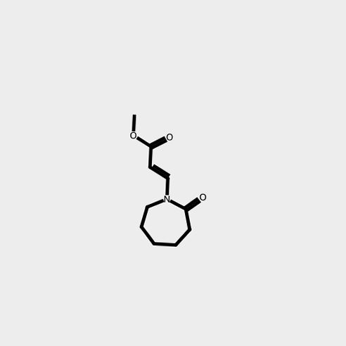 COC(=O)C=CN1CCCCCC1=O